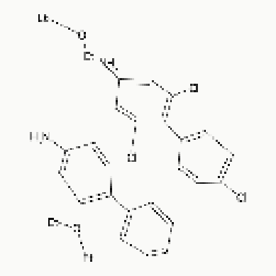 CCOCC.CCOCC.Nc1cc(Cl)c(-c2ccc(Cl)cc2)c(Cl)c1.Nc1ccc(-c2ccccc2)cc1